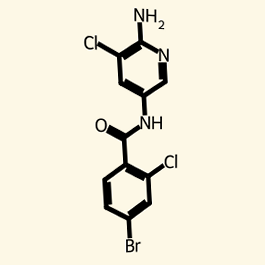 Nc1ncc(NC(=O)c2ccc(Br)cc2Cl)cc1Cl